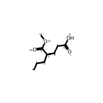 CCCC(CCC(=O)O)C(=O)OC